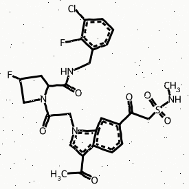 CNS(=O)(=O)CC(=O)c1ccc2c(C(C)=O)cn(CC(=O)N3CC(F)CC3C(=O)NCc3cccc(Cl)c3F)c2c1